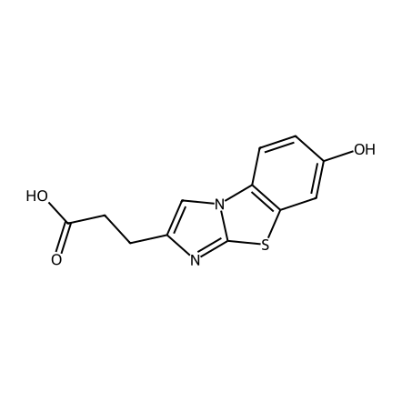 O=C(O)CCc1cn2c(n1)sc1cc(O)ccc12